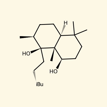 CC[C@@H](C)CC[C@]1(O)[C@@H](C)CC[C@H]2C(C)(C)CC[C@@H](O)[C@@]21C